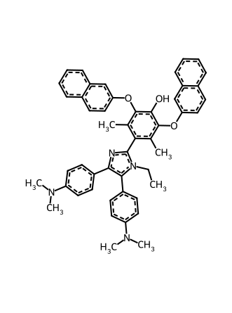 CCn1c(-c2c(C)c(Oc3ccc4ccccc4c3)c(O)c(Oc3ccc4ccccc4c3)c2C)nc(-c2ccc(N(C)C)cc2)c1-c1ccc(N(C)C)cc1